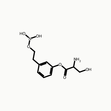 NC(CO)C(=O)Oc1cccc(CCON(O)O)c1